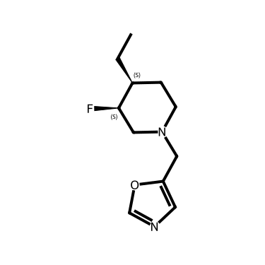 CC[C@H]1CCN(Cc2cnco2)C[C@H]1F